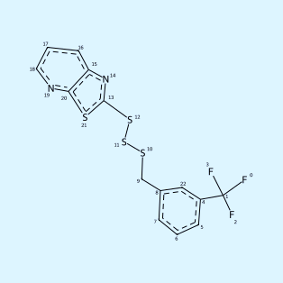 FC(F)(F)c1cccc(CSSSc2nc3cccnc3s2)c1